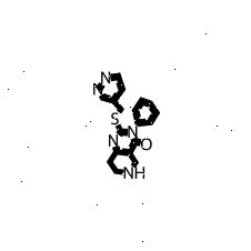 O=c1c2c(nc(SCc3ccnnc3)n1-c1ccccc1)CCNC2